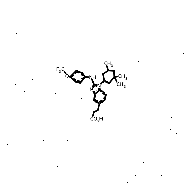 CC1CC(n2c(Nc3ccc(OC(F)(F)F)cc3)nc3cc(CCC(=O)O)ccc32)CC(C)(C)C1